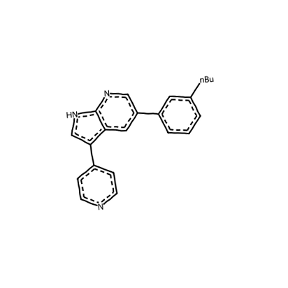 CCCCc1cccc(-c2cnc3[nH]cc(-c4ccncc4)c3c2)c1